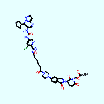 CC(C)(C)C(=O)OCN1C(=O)CCC(N2Cc3cc(N4CCN(C(=O)CCCCc5nc(-c6ncc(NC(=O)Nc7cnc8ccnn8c7C7CCCC7)cc6Cl)no5)CC4)ccc3C2=O)C1=O